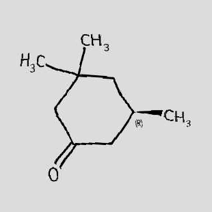 C[C@H]1CC(=O)CC(C)(C)C1